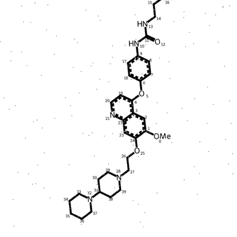 COc1cc2c(Oc3ccc(NC(=O)NCCC(C)(C)C)cc3)ccnc2cc1OCCN1CCC(N2CCCCC2)CC1